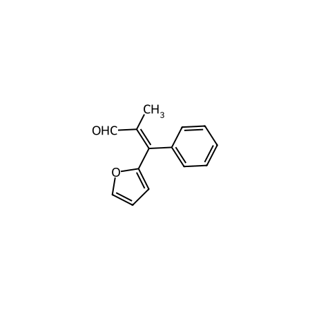 CC(C=O)=C(c1ccccc1)c1ccco1